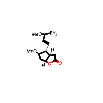 BC(/C=C/[C@@H]1[C@H]2CC(=O)O[C@H]2C[C@H]1OC)OC